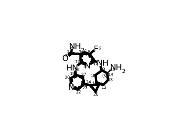 NC(=O)c1cc(F)c(NC2CCCC[C@@H]2N)nc1Nc1cncc(C2CC2)c1